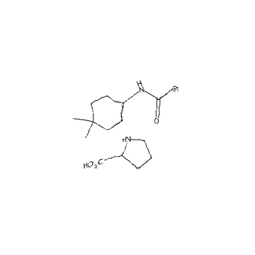 CC(C)C(=O)NC1CCC(C)(C)CC1.O=C(O)C1CCCN1